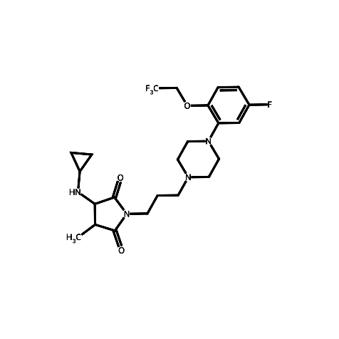 CC1C(=O)N(CCCN2CCN(c3cc(F)ccc3OCC(F)(F)F)CC2)C(=O)C1NC1CC1